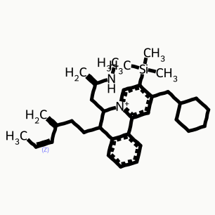 C=C(/C=C\C)CCC1c2ccccc2-c2cc(CC3CCCCC3)c([Si](C)(C)C)c[n+]2C1CC(=C)NC